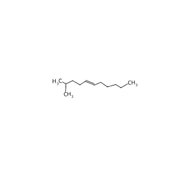 CCCCCC=CCC[C](C)C